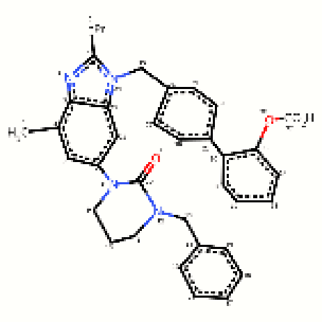 CCCc1nc2c(C)cc(N3CCCN(Cc4ccccc4)C3=O)cc2n1Cc1ccc(-c2ccccc2OC(=O)O)cc1